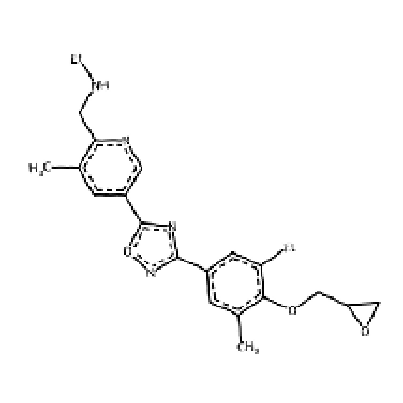 CCNCc1ncc(-c2nc(-c3cc(C)c(OCC4CO4)c(CC)c3)no2)cc1C